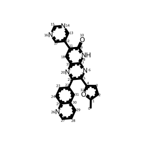 Cc1ccc(-c2nc3[nH]c(=O)c(-c4cncnc4)cc3nc2-c2ccc3ncccc3c2)o1